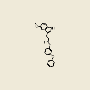 COc1ccc2[nH]cc(CCNCc3cccc(Oc4ccccc4)c3)c2c1